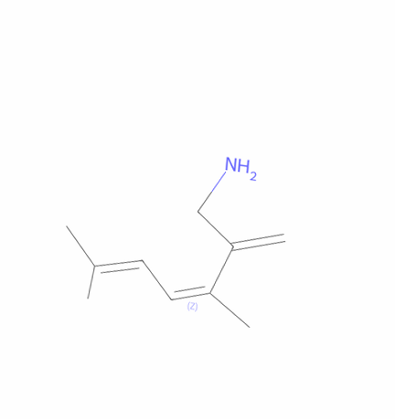 C=C(CN)/C(C)=C\C=C(C)C